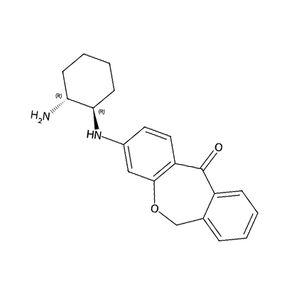 N[C@@H]1CCCC[C@H]1Nc1ccc2c(c1)OCc1ccccc1C2=O